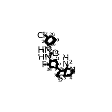 Nc1nccc2scc(-c3ccc(NC(=O)Nc4cccc(Cl)c4)c(F)c3)c12